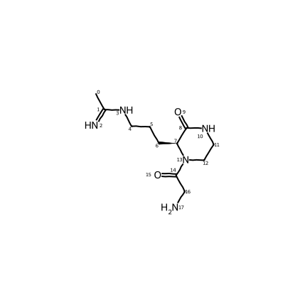 CC(=N)NCCC[C@H]1C(=O)NCCN1C(=O)CN